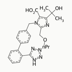 CCCOCc1nc(C(C)(C)O)c(C(=O)O)n1Cc1ccc(-c2ccccc2-c2nnn[nH]2)cc1